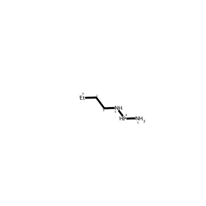 CCCCNPN